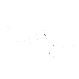 CC(C)C[C@H](Nc1cccc(Cl)c1)C(=O)N1[C@H]2CC[C@@H]([C@H]1C(=O)N[C@@H](C#N)C[C@H]1CCNC1=O)C(F)(F)C2